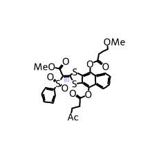 COCCC(=O)Oc1c2c(c(OC(=O)CCC(C)=O)c3ccccc13)S/C(=C(/C(=O)OC)S(=O)(=O)c1ccccc1)S2